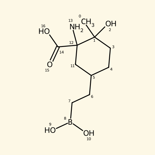 CC1(O)CCC(CCB(O)O)CC1(N)C(=O)O